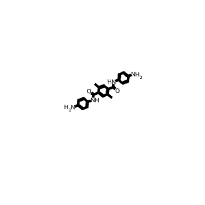 Cc1cc(C(=O)Nc2ccc(N)cc2)c(C)cc1C(=O)Nc1ccc(N)cc1